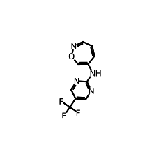 FC(F)(F)c1cnc(NC2=CON=CC=C2)nc1